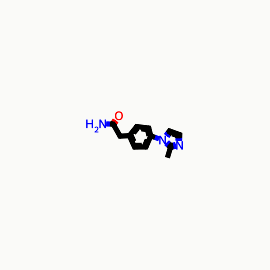 Cc1nccn1-c1ccc(CC(N)=O)cc1